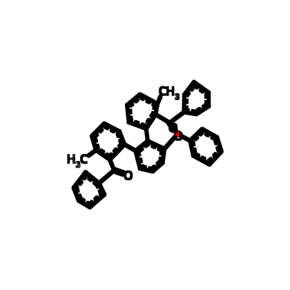 Cc1cccc(-c2cccc(C(=O)c3ccccc3)c2-c2cccc(C)c2C(=O)c2ccccc2)c1C(=O)c1ccccc1